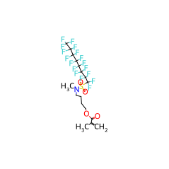 C=C(C)C(=O)OCCCCN(C)S(=O)(=O)C(F)(F)C(F)(F)C(F)(F)C(F)(F)C(F)(F)C(F)(F)C(F)(F)C(F)(F)F